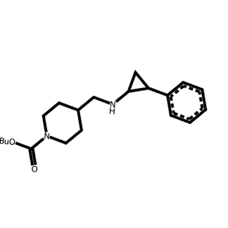 CC(C)COC(=O)N1CCC(CNC2CC2c2ccccc2)CC1